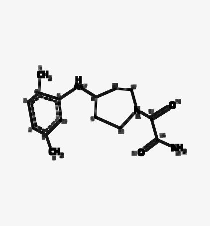 Cc1ccc(C)c([AsH]C2CCN(C(=O)C(N)=O)CC2)c1